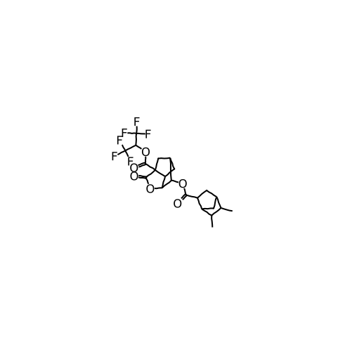 CC1C2CC(C(=O)OC3C4CC5C3OC(=O)C5(C(=O)OC(C(F)(F)F)C(F)(F)F)C4)C(C2)C1C